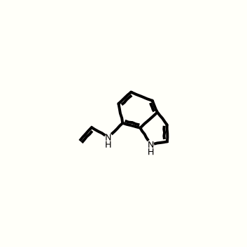 C=CNc1cccc2cc[nH]c12